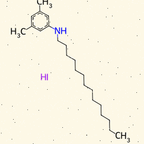 CCCCCCCCCCCCCCNc1cc(C)cc(C)c1.I